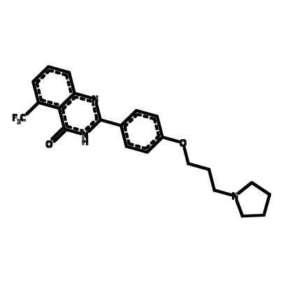 O=c1[nH]c(-c2ccc(OCCCN3CCCC3)cc2)nc2cccc(C(F)(F)F)c12